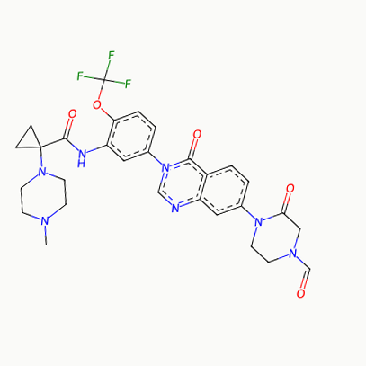 CN1CCN(C2(C(=O)Nc3cc(-n4cnc5cc(N6CCN(C=O)CC6=O)ccc5c4=O)ccc3OC(F)(F)F)CC2)CC1